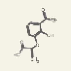 C=C(Oc1cccc(C(=O)O)c1O)C(=O)O